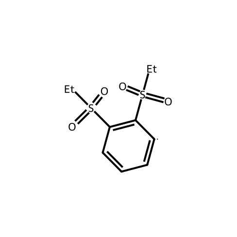 CCS(=O)(=O)c1[c]cccc1S(=O)(=O)CC